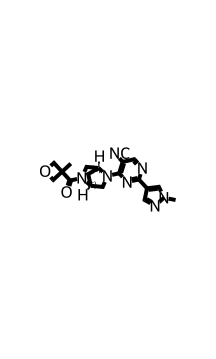 Cn1cc(-c2ncc(C#N)c(N3C[C@@H]4C[C@H]3CN4C(=O)C3(C)COC3)n2)cn1